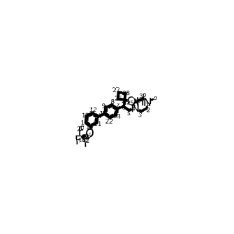 CN1CCN(CC(c2ccc(-c3cccc(OC(F)(F)F)c3)cc2)C2(O)CCC2)CC1